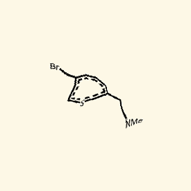 CNCc1cc(Br)cs1